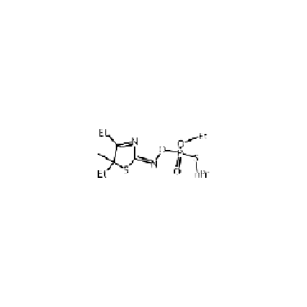 CCCSP(=O)(OCC)O/N=C1\N=C(CC)C(C)(CC)S1